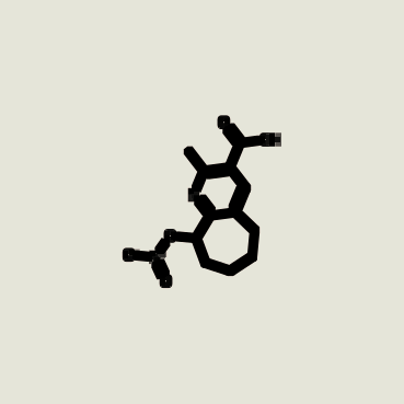 Cc1nc2c(cc1C(=O)O)CCCCC2O[N+](=O)[O-]